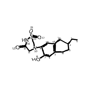 CCC1CCc2cc(O)c(N3CC(=O)NS3(=O)=O)cc2C1